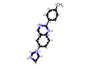 Cc1ccc(-c2ncc3cc(-n4ccnc4)ccc3n2)cc1